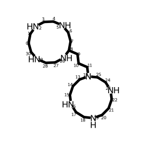 C1CNCCNCCC(CCCN2CCCNCCNCCCNCC2)NCCNC1